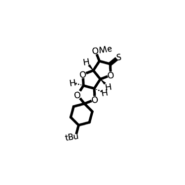 COC1C(=S)O[C@@H]2[C@H]3OC4(CCC(C(C)(C)C)CC4)O[C@H]3O[C@H]12